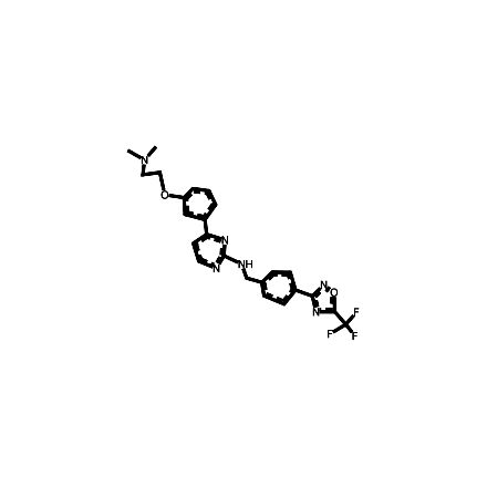 CN(C)CCOc1cccc(-c2ccnc(NCc3ccc(-c4noc(C(F)(F)F)n4)cc3)n2)c1